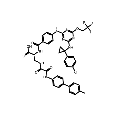 Cc1ccc(-c2ccc(NC(=O)C(=O)NC[C@H](NC(=O)c3ccc(Nc4nc(NC5(c6ccc(Cl)cc6)CC5)nc(OCC(F)(F)F)n4)cc3)C(=O)O)cc2)cc1